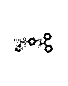 NN(c1nccs1)S(=O)(=O)c1ccc(NC(=O)C(c2ccccc2)c2ccccc2)cc1